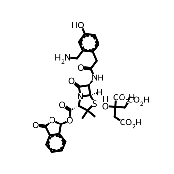 CC1(C)S[C@@H]2[C@H](NC(=O)Cc3ccc(O)cc3CN)C(=O)N2[C@H]1C(=O)OC1OC(=O)c2ccccc21.O=C(O)CC(O)(CC(=O)O)C(=O)O